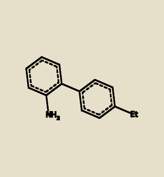 CCc1ccc(-c2ccccc2N)cc1